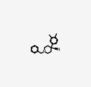 Cc1ccc(C2(C#N)CCN(Cc3ccccc3)CC2)cc1C